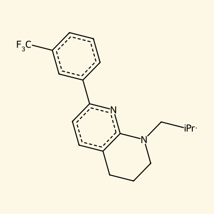 C[C](C)CN1CCCc2ccc(-c3cccc(C(F)(F)F)c3)nc21